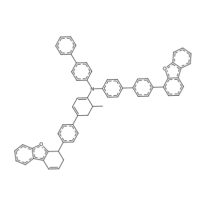 CC1CC(c2ccc(C3CC=Cc4c3oc3ccccc43)cc2)=CC=C1N(c1ccc(-c2ccccc2)cc1)c1ccc(-c2ccc(-c3cccc4c3oc3ccccc34)cc2)cc1